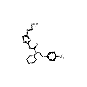 O=C(O)CSc1cnc(NC(=O)N(CCc2ccc(C(F)(F)F)cc2)C2CCCCC2)s1